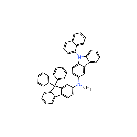 CN(c1ccc2c(c1)C(c1ccccc1)(c1ccccc1)c1ccccc1-2)c1ccc2c(c1)c1ccccc1n2-c1cccc2ccccc12